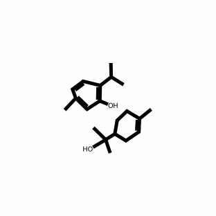 CC1=CCC(C(C)(C)O)CC1.Cc1ccc(C(C)C)c(O)c1